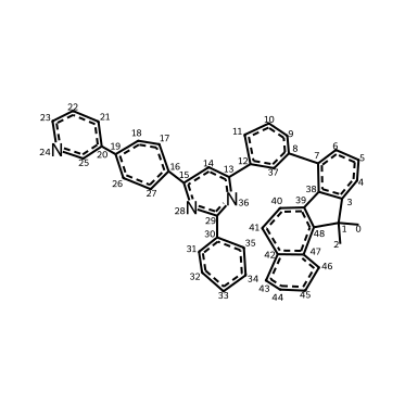 CC1(C)c2cccc(-c3cccc(-c4cc(-c5ccc(-c6cccnc6)cc5)nc(-c5ccccc5)n4)c3)c2-c2ccc3ccccc3c21